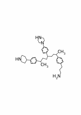 CC(CCC(CCC(C)c1ccc(C2CCNCC2)cc1)c1ccc(N2CCNCC2)cc1)c1ccc(CCCN)cc1